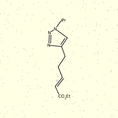 CCOC(=O)/C=C/CCc1cn(C(C)C)nn1